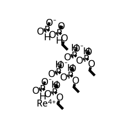 CCO[PH](=O)O[PH](=O)[O-].CCO[PH](=O)O[PH](=O)[O-].CCO[PH](=O)O[PH](=O)[O-].CCO[PH](=O)O[PH](=O)[O-].[Re+4]